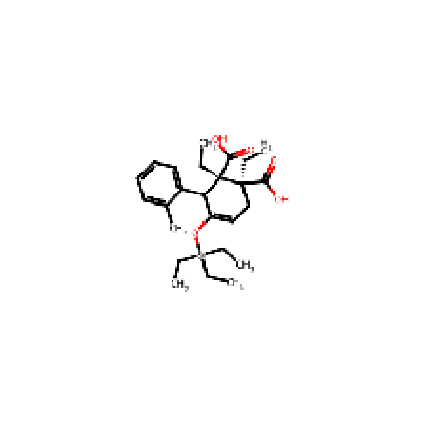 CC[C@]1(C(=O)O)CC=C(O[Si](CC)(CC)CC)C(c2ccccc2C)[C@]1(CC)C(=O)O